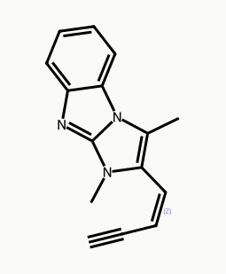 C#C/C=C\c1c(C)n2c3ccccc3nc2n1C